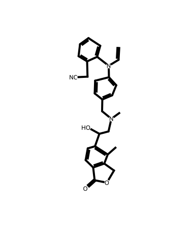 C=CN(c1ccc(CN(C)CC(O)c2ccc3c(c2C)COC3=O)cc1)c1ccccc1CC#N